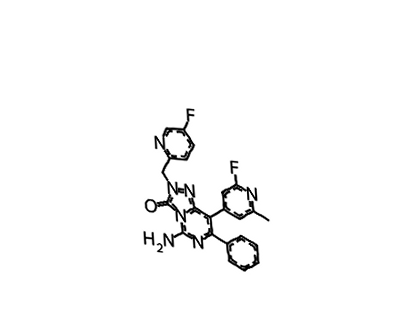 Cc1cc(-c2c(-c3ccccc3)nc(N)n3c(=O)n(Cc4ccc(F)cn4)nc23)cc(F)n1